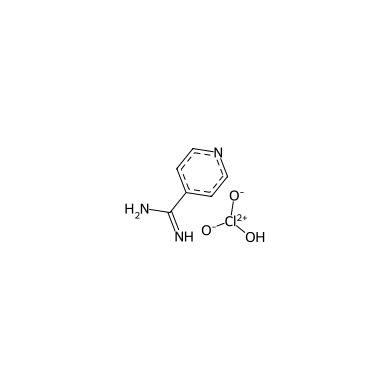 N=C(N)c1ccncc1.[O-][Cl+2]([O-])O